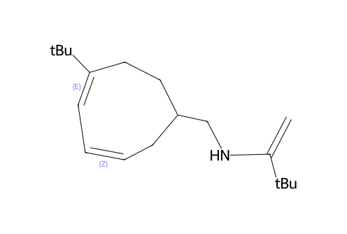 C=C(NCC1C/C=C\C=C(\C(C)(C)C)CC1)C(C)(C)C